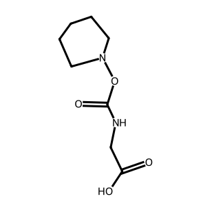 O=C(O)CNC(=O)ON1CCCCC1